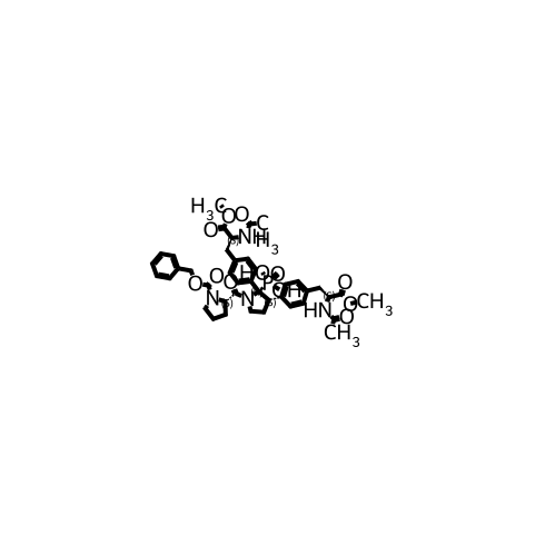 COC(=O)[C@H](Cc1ccc([C@@H]2CCN(C(=O)[C@@H]3CCCN3C(=O)OCc3ccccc3)[C@@]2(c2ccc(C[C@H](NC(C)=O)C(=O)OC)cc2)P(=O)(O)O)cc1)NC(C)=O